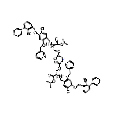 CC(C)OC(=O)[C@H](COC(=O)/C=C\C(=O)OC[C@H](NCc1cc(Cl)c(OCc2cccc(-c3ccccc3)c2Br)cc1OCc1cccnc1)C(=O)OC(C)C)NCc1cc(Cl)c(OCc2cccc(-c3ccccc3)c2Br)cc1OCc1cccnc1